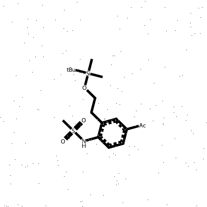 CC(=O)c1ccc(NS(C)(=O)=O)c(CCO[Si](C)(C)C(C)(C)C)c1